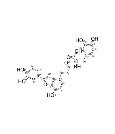 O=C(/C=C/c1ccc(O)c2oc(-c3ccc(O)c(O)c3)cc12)N[C@@H](Cc1ccc(O)c(O)c1)C(=O)O